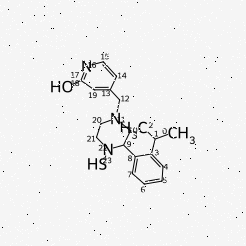 CC(C)c1ccccc1C1CN(Cc2ccnc(O)c2)CCN1S